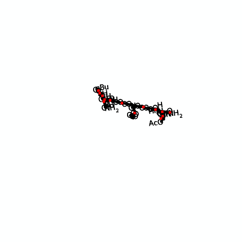 CCCCC(=O)OCc1ccc(NC(=O)[C@H](CCCNC(N)=O)NC(=O)CNC(=O)CCOCCOCCOCCOCCN(CCOCCOCCOCCOCCC(=O)NCC(=O)N[C@@H](CCCNC(N)=O)C(=O)Nc2ccc(COC(C)=O)cc2)C(=O)CCCC(=O)ON2C(=O)CCC2=O)cc1